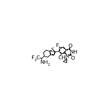 Cc1c(-c2cc3c(s2)CCC(C(N)C(F)(F)F)C3)c(F)cc2c(=O)[nH]c(=O)n(C3CC3)c12